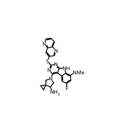 CNc1cc(F)cc2c1[nH]c1nc(Sc3cnc4cccnc4c3)nc(N3CC(N)C4(CC4)C3)c12